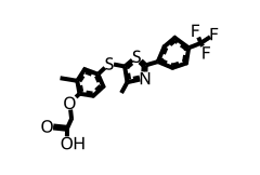 Cc1cc(Sc2sc(-c3ccc(C(F)(F)F)cc3)nc2C)ccc1OCC(=O)O